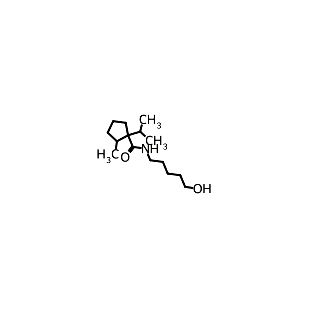 CC(C)C1(C(=O)NCCCCCO)CCCC1C